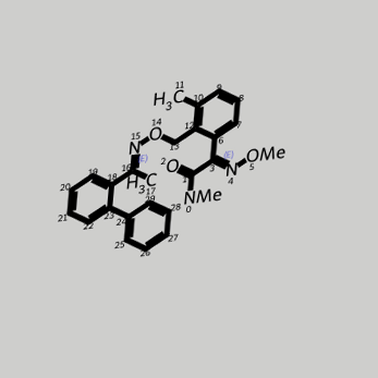 CNC(=O)/C(=N/OC)c1cccc(C)c1CO/N=C(\C)c1ccccc1-c1ccccc1